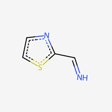 N=Cc1nccs1